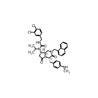 CNc1ccc(C[C@H]2C(=O)N(Cc3cccc4ccccc34)C[C@H]3N2C(=O)CN3N(C(=O)NCc2ccc(Cl)c(Cl)c2)C(C)C)cc1